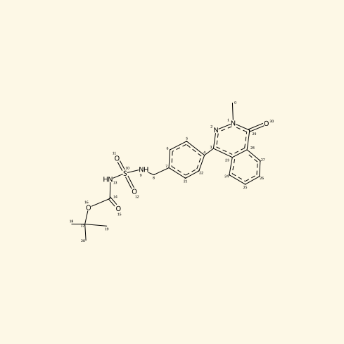 Cn1nc(-c2ccc(CNS(=O)(=O)NC(=O)OC(C)(C)C)cc2)c2ccccc2c1=O